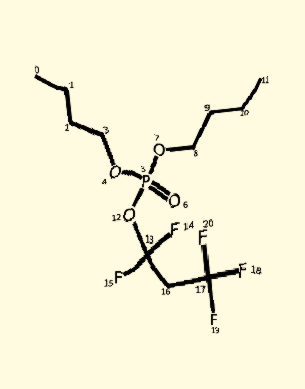 CCCCOP(=O)(OCCCC)OC(F)(F)CC(F)(F)F